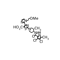 COCCn1ccnc1-c1nc(N2CC[C@@H](NC(=O)c3[nH]c(C)c(Cl)c3Cl)[C@@H](C)C2)sc1C(=O)O